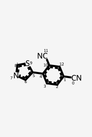 N#Cc1ccc(-c2cn[c]s2)c(C#N)c1